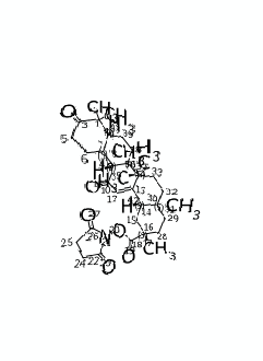 CC1(C)C(=O)CC[C@]2(C)[C@H]3C(=O)C=C4[C@H]5C[C@@](C)(C(=O)ON6C(=O)CCC6=O)CC[C@]5(C)CC[C@@]4(C)[C@]3(C)CC[C@@H]12